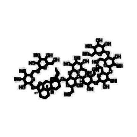 C[C@@]1(C(=O)OC2OC(COC3OC(CO)C(O)C(O)C3O)C(O)C(O)C2O)CCC[C@]2(C)C1CC[C@]13C/C(=C\I)[C@](OC4OC(CO)C(O)C(OC5OC(CO)C(OC6OC(CO)C(OC7OC(CO)C(OC8OC(CO)C(O)C(O)C8O)C(O)C7O)C(O)C6O)C(O)C5O)C4OC4OC(CO)C(O)C(O)C4O)(CC[C@H]12)C3